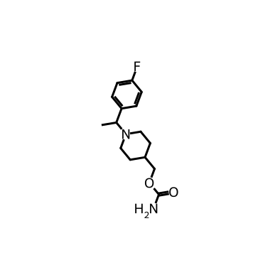 CC(c1ccc(F)cc1)N1CCC(COC(N)=O)CC1